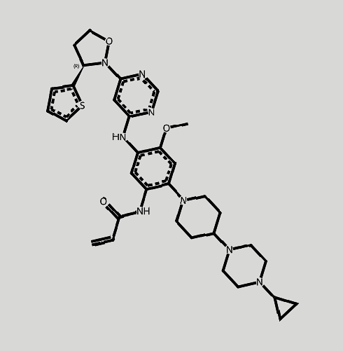 C=CC(=O)Nc1cc(Nc2cc(N3OCC[C@@H]3c3cccs3)ncn2)c(OC)cc1N1CCC(N2CCN(C3CC3)CC2)CC1